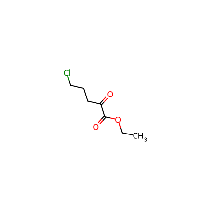 CCOC(=O)C(=O)CCCCl